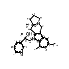 Cc1cc(F)cc2c3c(n(C[C@](C)(O)c4cccnc4)c12)C[C@H]1CCCN1C3